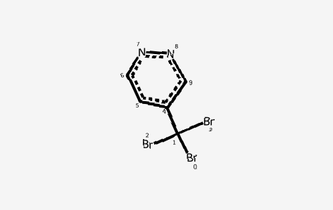 BrC(Br)(Br)c1ccnnc1